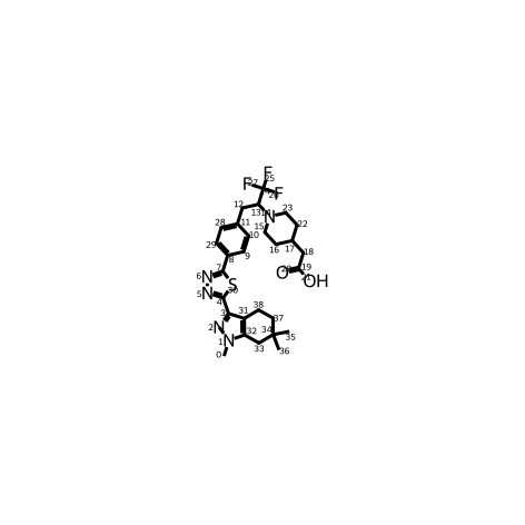 Cn1nc(-c2nnc(-c3ccc(CC(N4CCC(CC(=O)O)CC4)C(F)(F)F)cc3)s2)c2c1CC(C)(C)CC2